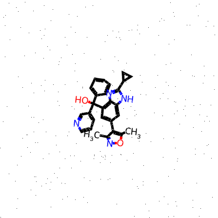 Cc1noc(C)c1-c1cc(C(O)(c2ccccc2)c2cccnc2)c2nc(C3CC3)[nH]c2c1